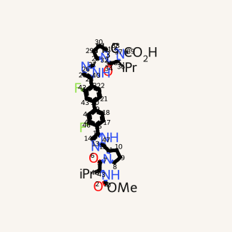 COC(=O)NC(C(=O)N1CCCC1c1ncc(-c2ccc(-c3ccc(-c4cnc([C@@H]5CCCN5C(=O)[C@H](C(C)C)N(C)C(=O)O)[nH]4)c(F)c3)cc2F)[nH]1)C(C)C